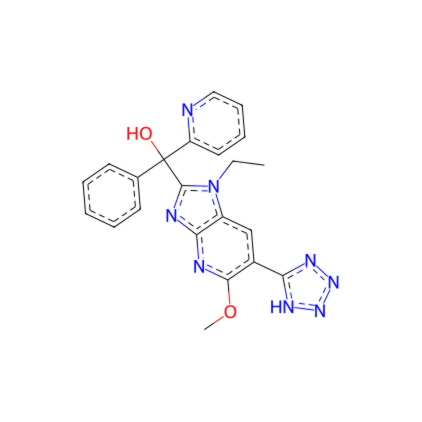 CCn1c(C(O)(c2ccccc2)c2ccccn2)nc2nc(OC)c(-c3nnn[nH]3)cc21